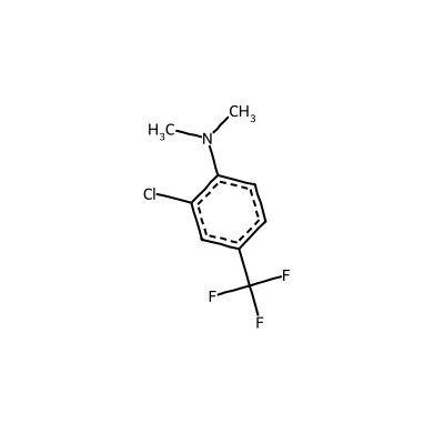 CN(C)c1ccc(C(F)(F)F)cc1Cl